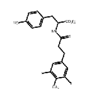 CCOC(=O)C(Cc1ccc(O)cc1)NC(=S)CCc1cc(I)c(OC(C)=O)c(I)c1